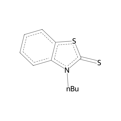 CCCCn1c(=S)sc2ccccc21